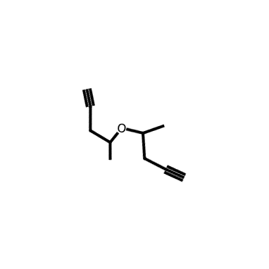 C#CCC(C)OC(C)CC#C